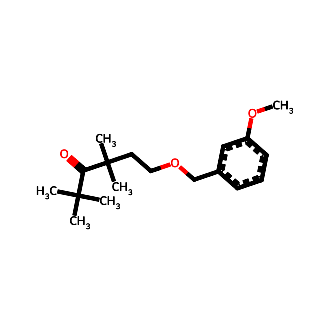 COc1cccc(COCCC(C)(C)C(=O)C(C)(C)C)c1